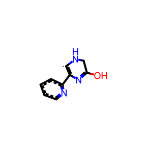 OC1=NC(c2ccccn2)=[C]NC1